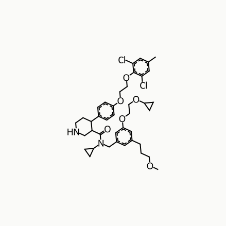 COCCCc1cc(CN(C(=O)C2CNCCC2c2ccc(OCCOc3c(Cl)cc(C)cc3Cl)cc2)C2CC2)cc(OCCOC2CC2)c1